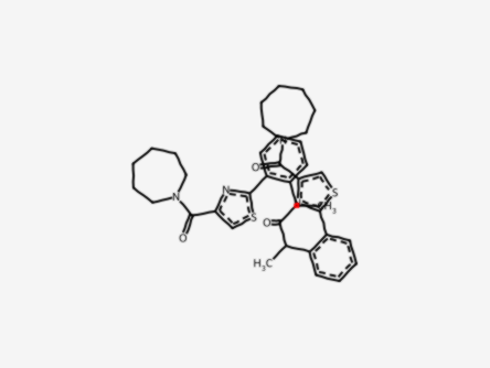 CC(C(=O)C(C)c1ccccc1-c1nc(C(=O)N2CCCCCC2)cs1)c1ccccc1-c1nc(C(=O)N2CCCCCC2)cs1